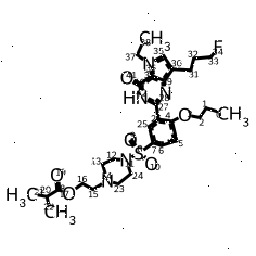 CCCOc1ccc(S(=O)(=O)N2CCN(CCOC(=O)C(C)C)CC2)cc1-c1nc2c(CCCF)cn(CC)c2c(=O)[nH]1